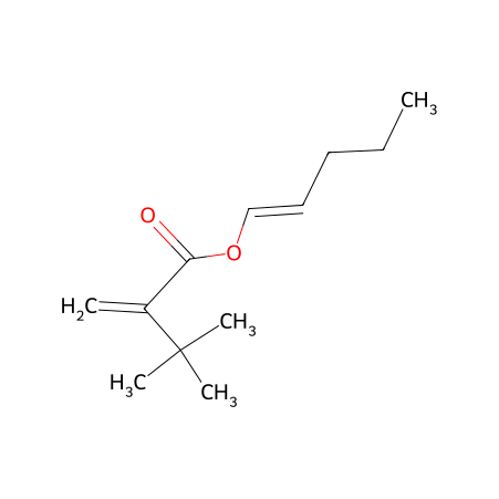 C=C(C(=O)OC=CCCC)C(C)(C)C